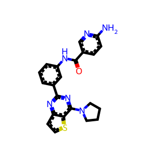 Nc1ccc(C(=O)Nc2cccc(-c3nc(N4CCCC4)c4sccc4n3)c2)cn1